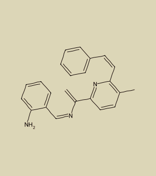 C=C(/N=C\c1ccccc1N)c1ccc(C)c(/C=C\c2ccccc2)n1